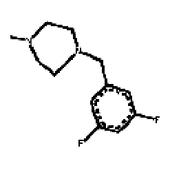 CN1CCN(Cc2cc(F)cc(F)c2)CC1